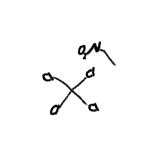 C[N+](=O)[O-].ClC(Cl)(Cl)Cl